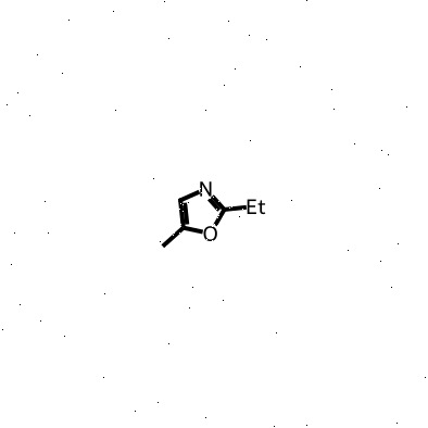 [CH2]Cc1ncc(C)o1